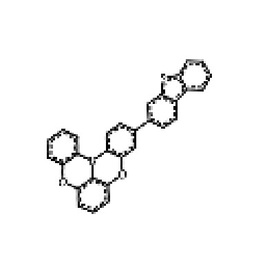 c1ccc2c(c1)Oc1cccc3c1B2c1ccc(-c2ccc4c(c2)sc2ccccc24)cc1O3